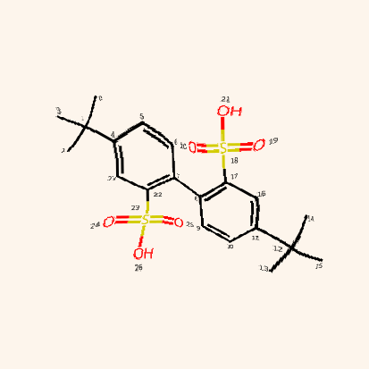 CC(C)(C)c1ccc(-c2ccc(C(C)(C)C)cc2S(=O)(=O)O)c(S(=O)(=O)O)c1